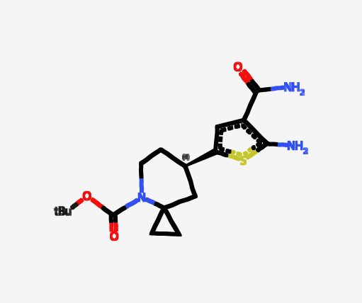 CC(C)(C)OC(=O)N1CC[C@@H](c2cc(C(N)=O)c(N)s2)CC12CC2